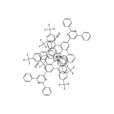 N#Cc1ccccc1-c1cc(-c2cc(-c3ccccc3)nc(-c3ccccc3)n2)cc(-c2cccc(-c3cccc(-c4cc(-c5cc(-c6ccccc6)nc(-c6ccccc6)n5)cc(-c5ccccc5C#N)c4-n4c5ccc(-c6ccc(C(F)(F)F)cc6C(F)(F)F)cc5c5cc(-c6ccc(C(F)(F)F)cc6C(F)(F)F)ccc54)c3C#N)c2C#N)c1-n1c2ccccc2c2cc(-c3ccc(C(F)(F)F)cc3C(F)(F)F)ccc21